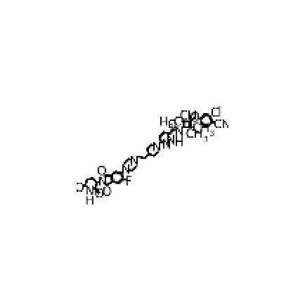 CC1(C)C(NC(=O)c2ccc(N3CCC(CCN4CCN(c5cc6c(cc5F)C(=O)N(C5CCC(=O)NC5=O)C6=O)CC4)CC3)nn2)C(C)(C)C1Oc1ccc(C#N)c(Cl)c1